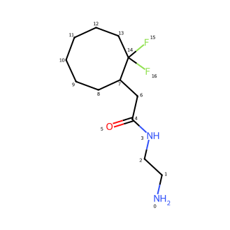 NCCNC(=O)CC1CCCCCCC1(F)F